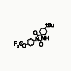 CC(C)(C)[C@H]1CC[C@@]2(CC1)NC(=O)N(c1ccc(OC(F)(F)F)cc1)C2=O